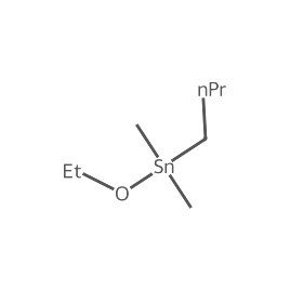 CCC[CH2][Sn]([CH3])([CH3])[O]CC